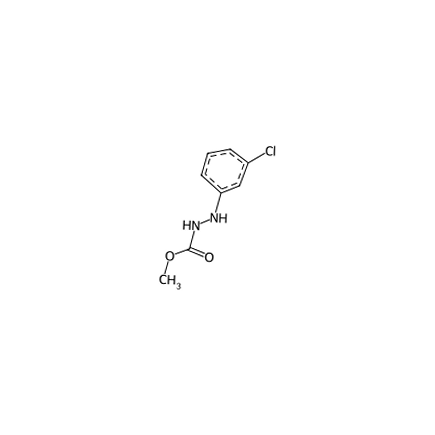 COC(=O)NNc1cccc(Cl)c1